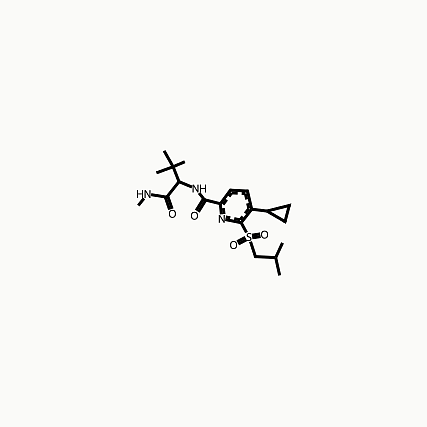 CNC(=O)C(NC(=O)c1ccc(C2CC2)c(S(=O)(=O)CC(C)C)n1)C(C)(C)C